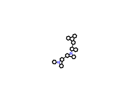 c1ccc(-n2c3ccccc3c3cc(-c4ccc5c(c4)c4ccccc4n5-c4ccc(-c5ccc6c7ccccc7c7ccccc7c6c5)c5ccccc45)ccc32)cc1